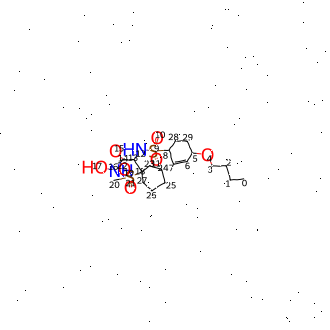 CCCCOC1C=CC(S(=O)(=O)NC(C(=O)NO)C2(S(C)(=O)=O)CCCCC2)CC1